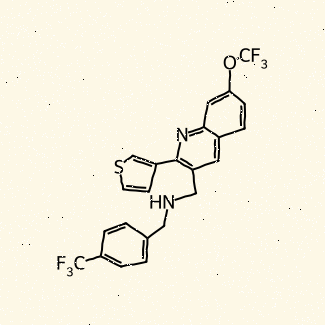 FC(F)(F)Oc1ccc2cc(CNCc3ccc(C(F)(F)F)cc3)c(-c3ccsc3)nc2c1